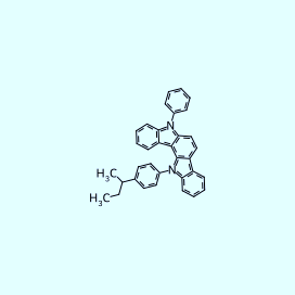 CCC(C)c1ccc(-n2c3ccccc3c3ccc4c(c5ccccc5n4-c4ccccc4)c32)cc1